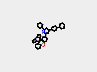 c1ccc(-c2ccc(-c3cc(-c4ccccc4)nc(-c4ccc5c(c4)C4(c6ccccc6O5)c5ccccc5-c5ccccc54)c3)cc2)cc1